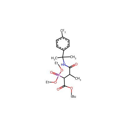 CCOP(=O)(OCC)C(C(=O)OC(C)(C)C)C(C)C(=O)NC(C)(C)c1ccc(C(F)(F)F)cc1